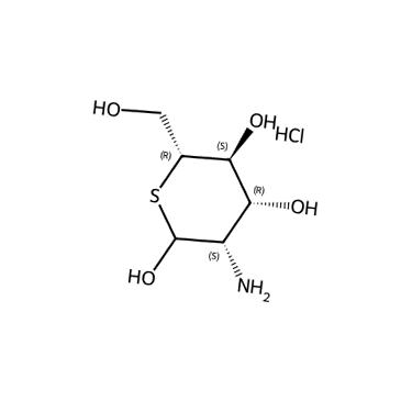 Cl.N[C@@H]1C(O)S[C@H](CO)[C@@H](O)[C@@H]1O